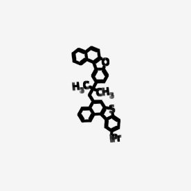 CC(C)c1ccc2sc3cc(CC(C)(C)c4ccc5oc6ccc7ccccc7c6c5c4)c4ccccc4c3c2c1